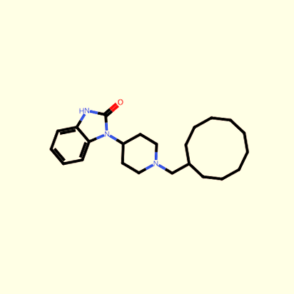 O=c1[nH]c2ccccc2n1C1CCN(CC2CCCCCCCCC2)CC1